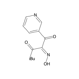 CCC(C)C(=O)/C(=N\O)C(=O)c1cccnc1